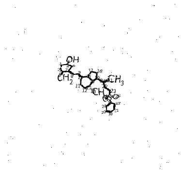 C=C1CCC(O)C/C1=C\C=C1/CC[C@@H](C)C2C1CCC2C(C)CCS(=O)(=O)c1ccccc1